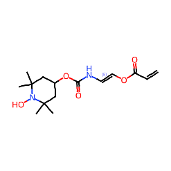 C=CC(=O)O/C=C/NC(=O)OC1CC(C)(C)N(O)C(C)(C)C1